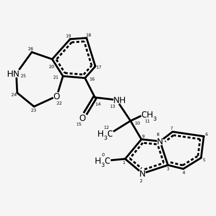 Cc1nc2ccccn2c1C(C)(C)NC(=O)c1cccc2c1OCCNC2